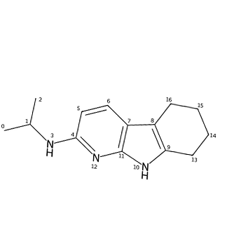 CC(C)Nc1ccc2c3c([nH]c2n1)CCCC3